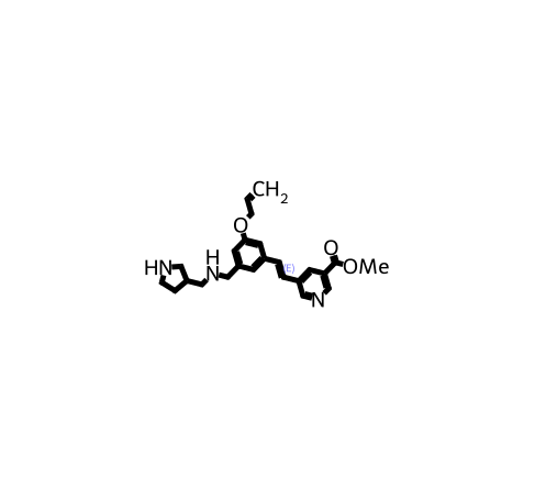 C=CCOc1cc(/C=C/c2cncc(C(=O)OC)c2)cc(CNCC2CCNC2)c1